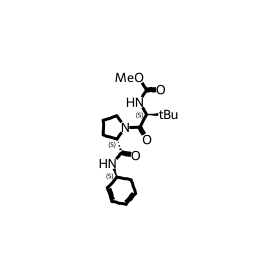 COC(=O)N[C@H](C(=O)N1CCC[C@H]1C(=O)N[C@@H]1C=CC=CC1)C(C)(C)C